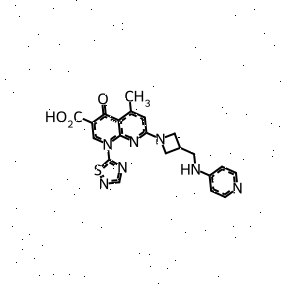 Cc1cc(N2CC(CNc3ccncc3)C2)nc2c1c(=O)c(C(=O)O)cn2-c1ncns1